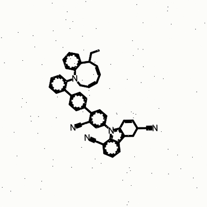 CCC1/C=C\C=C/CN(c2ccccc2-c2ccc(-c3ccc(-n4c5c(c6cccc(C#N)c64)CC(C#N)C=C5)cc3C#N)cc2)c2ccccc21